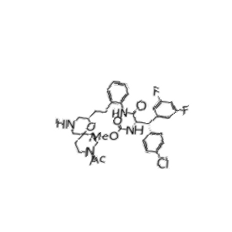 COC(=O)N[C@H](C(=O)Nc1ccccc1CC[C@@H]1CNCC2(CCN(C(C)=O)CC2)O1)[C@@H](c1ccc(Cl)cc1)c1cc(F)cc(F)c1